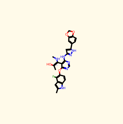 CN/C(=C(/C)O)c1c(Nc2cc(-c3ccc4c(c3)OCO4)[nH]n2)ncnc1Oc1ccc2[nH]c(C)cc2c1F